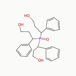 O=P(C(CCO)c1ccccc1)(C(CCO)c1ccccc1)C(CCO)c1ccccc1